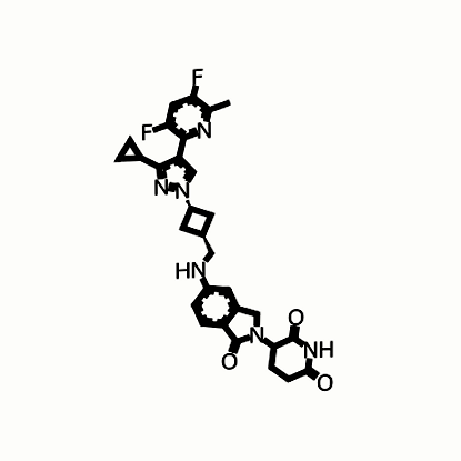 Cc1nc(-c2cn([C@H]3C[C@H](CNc4ccc5c(c4)CN(C4CCC(=O)NC4=O)C5=O)C3)nc2C2CC2)c(F)cc1F